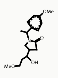 COCCC(O)C1CC(=O)N(C(C)c2ccc(OC)cc2)C1